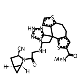 CNC(=O)c1cc2c(s1)C(CCNCC(=O)N1[C@H](C#N)C[C@@H]3C[C@@H]31)(c1nn[nH]n1)c1ccsc1CC2